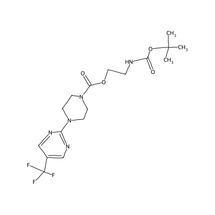 CC(C)(C)OC(=O)NCCOC(=O)N1CCN(c2ncc(C(F)(F)F)cn2)CC1